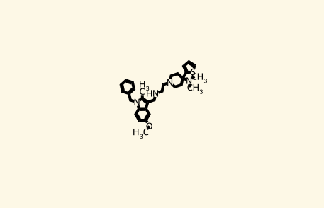 COc1ccc2c(c1)c(CNCCN1CCC(c3cccs3)(N(C)C)CC1)c(C)n2Cc1ccccc1